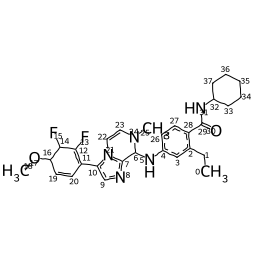 CCc1cc(NC2c3ncc(C4=C(F)C(F)C(OC)C=C4)n3C=CN2C)ccc1C(=O)NC1CCCCC1